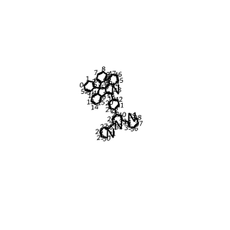 c1ccc(C2(c3ccccc3)c3ccccc3-c3c(-c4ccc(-c5cc(-c6ccccn6)nc(-c6ccccn6)c5)cc4)nc4ccccc4c32)cc1